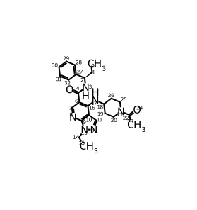 CC[C@@H](NC(=O)c1cnc2c(cnn2CC)c1NC1CCN(C(C)=O)CC1)c1ccccc1